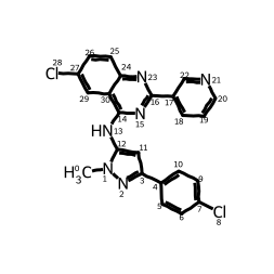 Cn1nc(-c2ccc(Cl)cc2)cc1Nc1nc(-c2cccnc2)nc2ccc(Cl)cc12